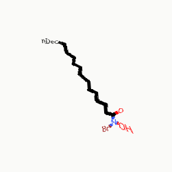 CCCCCCCCCCCCCCCCCCCCCCC(=O)N(O)Br